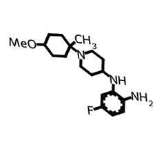 COC1CCC(C)(N2CCC(Nc3cc(F)ccc3N)CC2)CC1